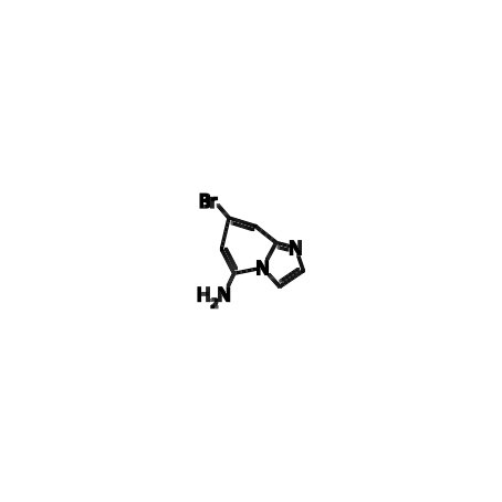 Nc1cc(Br)cc2nccn12